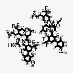 CCOC(=O)C[C@H](NC(=O)C(CC(C)C)n1cc(CCN(C)C)c(C(F)(F)F)cc1=O)c1c(F)c(-c2c(C)ccc(OC)c2C)cc(C(F)(F)F)c1F.COc1ccc(C)c(-c2cc(C(F)(F)F)c(F)c([C@H](CC(=O)O)NC(=O)C(CC(C)C)n3cc(CCN(C)C)c(C(F)(F)F)cc3=O)c2F)c1C